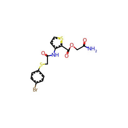 NC(=O)COC(=O)c1sccc1NC(=O)CSc1ccc(Br)cc1